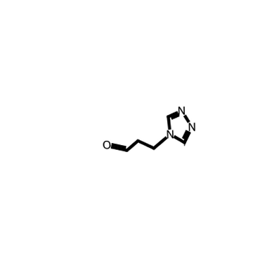 O=CCCn1[c]nnc1